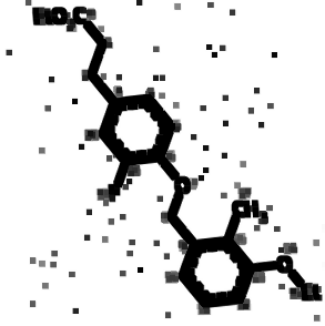 CCOC(=O)CCc1ccc(OCc2cccc(OCC)c2C)c(F)c1